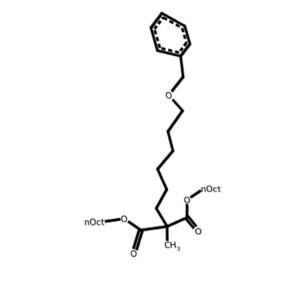 CCCCCCCCOC(=O)C(C)(CCCCCCOCc1ccccc1)C(=O)OCCCCCCCC